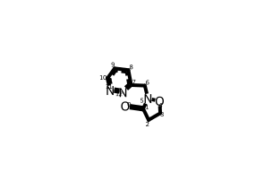 O=C1CCON1Cc1cccnn1